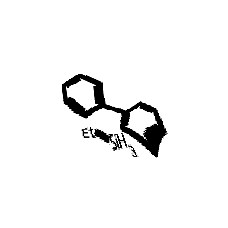 CC[SiH3].c1ccc(-c2ccccc2)cc1